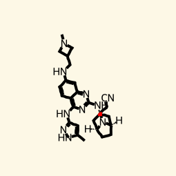 Cc1cc(Nc2nc(N[C@@H]3C[C@H]4CC[C@@H](C3)N4CCC#N)nc3cc(NCC4CN(C)C4)ccc23)n[nH]1